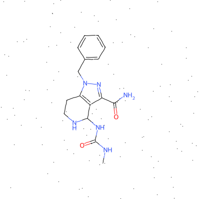 CNC(=O)NC1NCCc2c1c(C(N)=O)nn2Cc1ccccc1